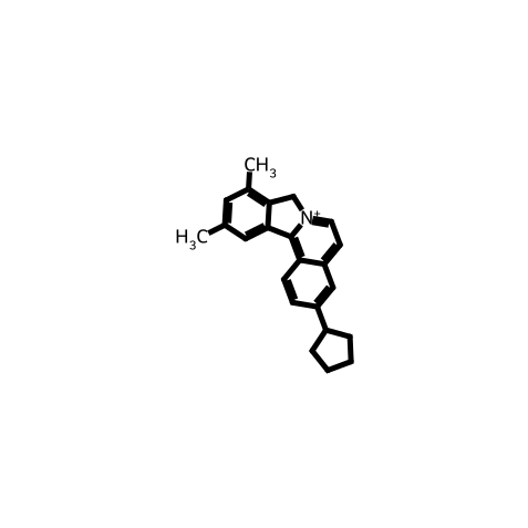 Cc1cc(C)c2c(c1)-c1c3ccc(C4CCCC4)cc3cc[n+]1C2